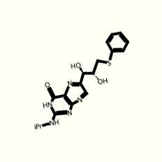 CC(C)Nc1nc2ncc([C@@H](O)[C@@H](O)CSc3ccccc3)nc2c(=O)[nH]1